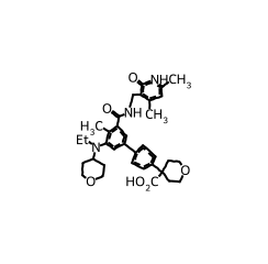 CCN(c1cc(-c2ccc(C3(C(=O)O)CCOCC3)cc2)cc(C(=O)NCc2c(C)cc(C)[nH]c2=O)c1C)C1CCOCC1